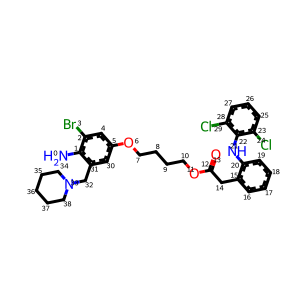 Nc1c(Br)cc(OCCCCOC(=O)Cc2ccccc2Nc2c(Cl)cccc2Cl)cc1CN1CCCCC1